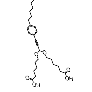 CCCCCCc1ccc(C#CC(OCCCCCC(=O)O)OCCCCCC(=O)O)cc1